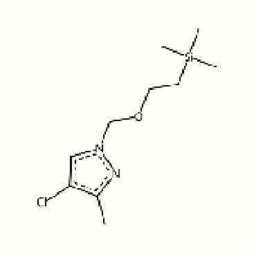 Cc1nn(COCC[Si](C)(C)C)cc1Cl